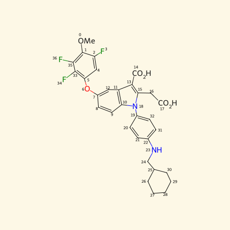 COc1c(F)cc(Oc2ccc3c(c2)c(C(=O)O)c(CC(=O)O)n3-c2ccc(NCC3CCCCC3)cc2)c(F)c1F